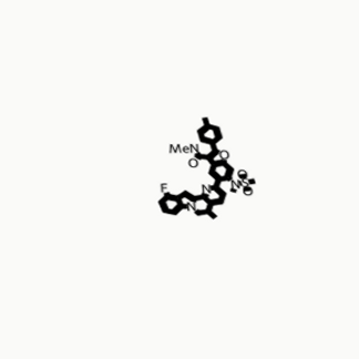 CNC(=O)c1c(-c2ccc(C)cc2)oc2cc(N(C)S(C)(=O)=O)c(-c3ccc4c(n3)-c3cc5c(F)cccc5n3CC4C)cc12